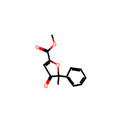 COC(=O)C1=CC(=O)C(C)(c2ccccc2)O1